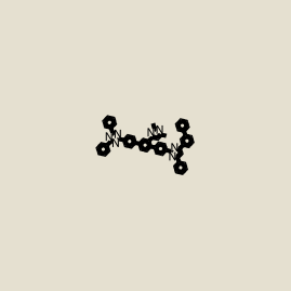 Cc1cc(-c2cc(-c3ccc(-c4nc(-c5ccccc5)nc(-c5ccccc5)n4)cc3)ccc2-c2ccc(-c3nc(-c4ccccc4)cc(-c4cccc(-c5ccccc5)c4)n3)cc2)nc(C)n1